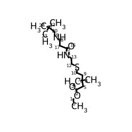 CCOC(=O)CC(C)(C)CCSCCNC(=O)CCNCC(C)(C)C